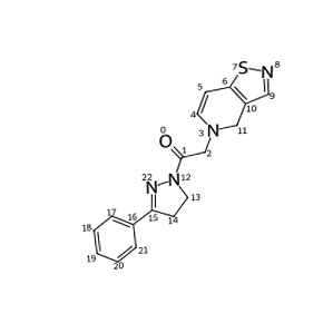 O=C(CN1C=Cc2sncc2C1)N1CCC(c2ccccc2)=N1